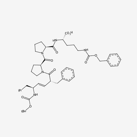 CC(C)C[C@@H](/C=C/[C@@H](Cc1ccccc1)C(=O)N1CCC[C@H]1C(=O)N1CCC[C@H]1C(=O)N[C@@H](CCCNC(=O)OCc1ccccc1)C(=O)O)NC(=O)OC(C)(C)C